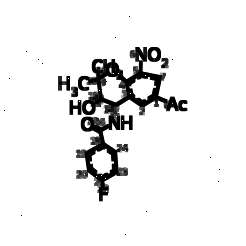 CC(=O)c1cc2c(c([N+](=O)[O-])c1)OC(C)(C)[C@H](O)[C@H]2NC(=O)c1ccc(F)cc1